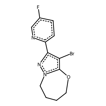 Fc1ccc(-c2nn3c(c2Br)OCCCC3)nc1